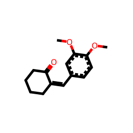 COc1ccc(/C=C2/CCCCC2=O)cc1OC